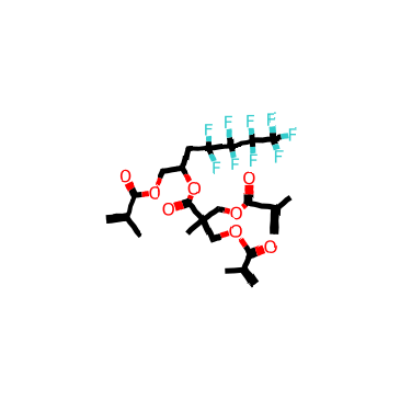 C=C(C)C(=O)OCC(CC(F)(F)C(F)(F)C(F)(F)C(F)(F)F)OC(=O)C(C)(COC(=O)C(=C)C)COC(=O)C(=C)C